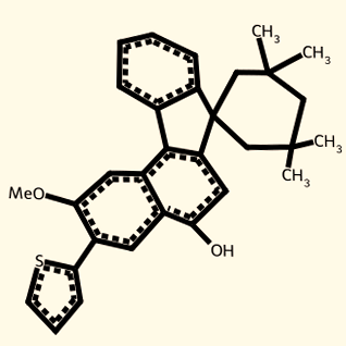 COc1cc2c3c(cc(O)c2cc1-c1cccs1)C1(CC(C)(C)CC(C)(C)C1)c1ccccc1-3